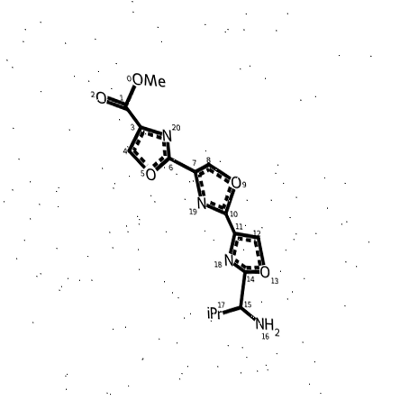 COC(=O)c1coc(-c2coc(-c3coc(C(N)C(C)C)n3)n2)n1